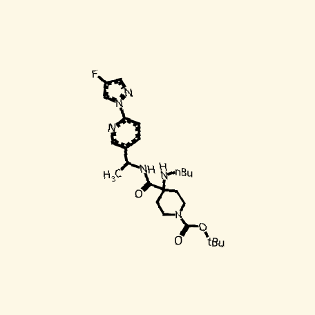 CCCCNC1(C(=O)NC(C)c2ccc(-n3cc(F)cn3)nc2)CCN(C(=O)OC(C)(C)C)CC1